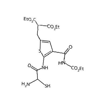 CCOC(=O)NC(=O)c1cc(CC(C(=O)OCC)C(=O)OCC)sc1NC(=O)C(N)S